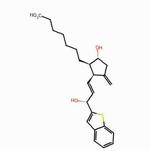 C=C1C[C@@H](O)[C@H](CCCCCCC(=O)O)[C@@H]1C=C[C@@H](O)c1cc2ccccc2s1